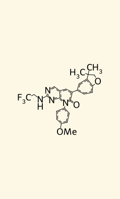 COc1ccc(-n2c(=O)c(-c3ccc4c(c3)C(C)(C)CO4)cc3cnc(NCC(F)(F)F)nc32)cc1